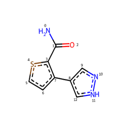 NC(=O)c1sccc1-c1cn[nH]c1